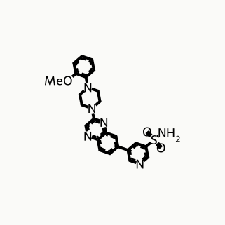 COc1ccccc1N1CCN(c2cnc3ccc(-c4cncc(S(N)(=O)=O)c4)cc3n2)CC1